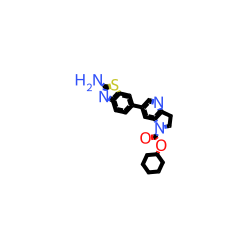 Nc1nc2ccc(-c3cnc4c(c3)N(C(=O)OC3CCCCC3)CC4)cc2s1